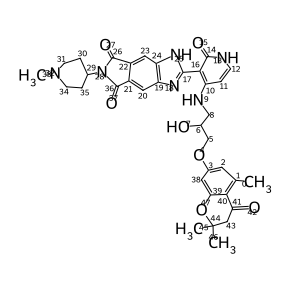 Cc1cc(OCC(O)CNc2cc[nH]c(=O)c2-c2nc3cc4c(cc3[nH]2)C(=O)N(C2CCN(C)CC2)C4=O)cc2c1C(=O)CC(C)(C)O2